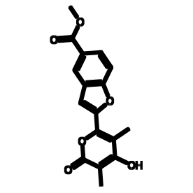 COC(=O)c1ccc2oc(-c3oc(=O)c(C)c(O)c3C)cc2c1